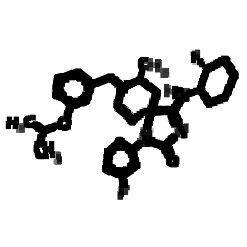 CC(C)Oc1cccc(CN2CC[C@@]3(C[C@@H]2C)C(N[C@@H]2CCCC[C@H]2F)=NC(=O)N3c2cccc(F)c2)c1